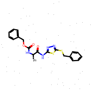 CC(C)C(NC(=O)OCc1ccccc1)C(=O)Nc1nnc(SCc2ccccc2)s1